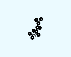 c1ccc(-c2nc(-n3c4ccccc4c4cc(-c5ccc(-c6ccc7c(c6)c6ccccc6n7-c6ccccc6)c6ccccc56)c5ccccc5c43)nc3ccccc23)cc1